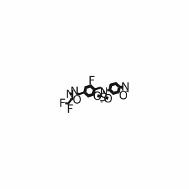 CS(=O)(=O)N(Cc1ccc(-c2nnc(C(F)F)o2)cc1F)c1ccc2ncoc2c1